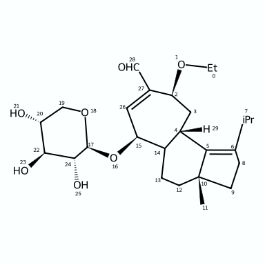 CCO[C@H]1C[C@@H]2C3=C(C(C)C)CC[C@]3(C)CCC2[C@@H](O[C@@H]2OC[C@@H](O)[C@H](O)[C@H]2O)C=C1C=O